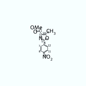 COC(=O)c1nc(-c2ccc([N+](=O)[O-])cc2)oc1C